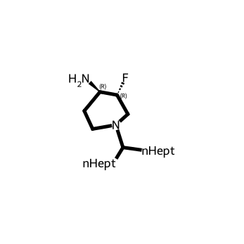 CCCCCCCC(CCCCCCC)N1CC[C@@H](N)[C@H](F)C1